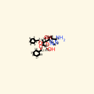 CC1(OCc2ccccc2)[C@H](OCc2ccccc2)[C@@H](CO)O[C@@]1(CO)c1ccc2c(N)ncnn12